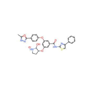 Cc1nnc(-c2ccc(Oc3cc(OC4CC[NH+]([O-])C4O)cc(C(=O)Nc4nc(-c5ccccc5)cs4)c3)cc2)o1